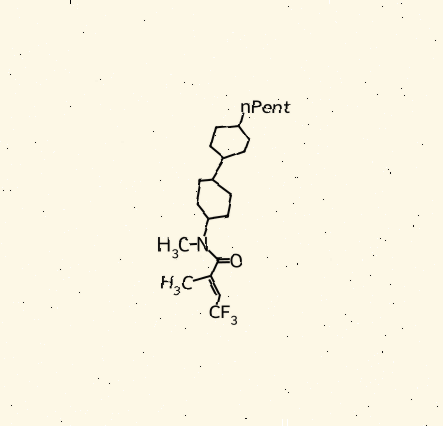 CCCCCC1CCC(C2CCC(N(C)C(=O)/C(C)=C/C(F)(F)F)CC2)CC1